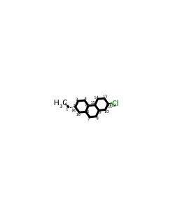 CC[C@@H]1CCC2C(CCC3C[C@H](Cl)CCC32)C1